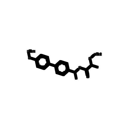 CCCCCCCCOC(C)C(=O)OC(C)c1ccc(-c2ccc(OCCCCCC)cc2)cc1